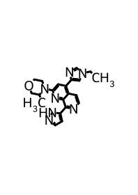 CCn1cnc(-c2cc(N3CCOCC3C)nc3c(-c4ccn[nH]4)nccc23)c1